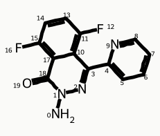 Nn1nc(-c2ccccn2)c2c(F)ccc(F)c2c1=O